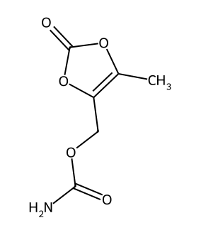 Cc1oc(=O)oc1COC(N)=O